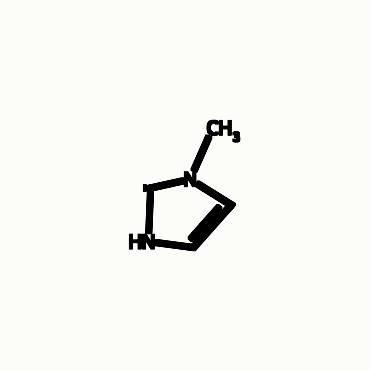 CN1[C]NC=C1